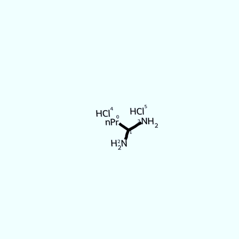 CCCC(N)N.Cl.Cl